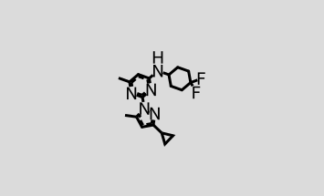 Cc1cc(NC2CCC(F)(F)CC2)nc(-n2nc(C3CC3)cc2C)n1